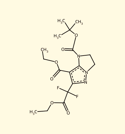 CCOC(=O)c1c(C(F)(F)C(=O)OCC)nn2c1N(C(=O)OC(C)(C)C)CC2